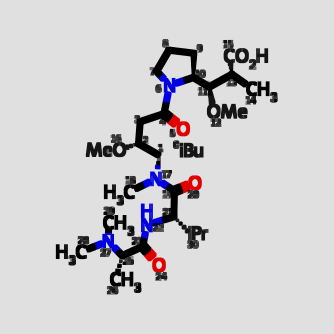 CC[C@H](C)[C@@H]([C@@H](CC(=O)N1CCC[C@H]1[C@H](OC)[C@@H](C)C(=O)O)OC)N(C)C(=O)[C@@H](NC(=O)[C@H](C)N(C)C)C(C)C